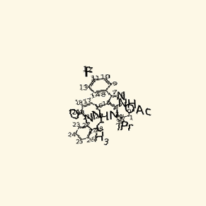 CC(=O)OC[C@@H](Nc1[nH]nc(-c2ccc(F)cc2)c1-c1ccc(=O)n(-c2ccccc2C)n1)C(C)C